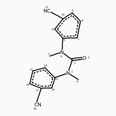 CN(C(=O)N(C)c1cccc(C#N)c1)c1cccc(C#N)c1